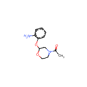 CC(=O)N1CCOC(Oc2ccccc2N)C1